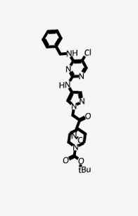 CC(C)(C)OC(=O)N1CC2CCC1CN2C(=O)Cn1cc(Nc2ncc(Cl)c(NCc3ccccc3)n2)cn1